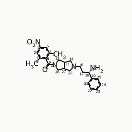 Cc1cc([N+](=O)[O-])cc(C)c1C(=O)N1CC2CN(CC[C@H](N)c3ccccc3)CC2C1